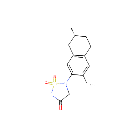 CC[C@H]1CCc2cc(OC)c(N3CC(=O)NS3(=O)=O)cc2C1